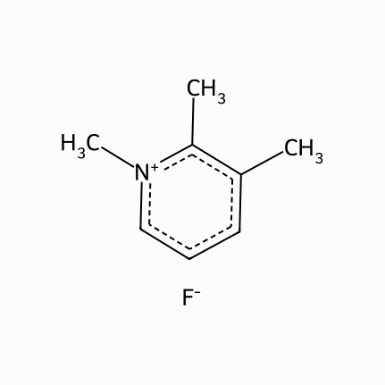 Cc1ccc[n+](C)c1C.[F-]